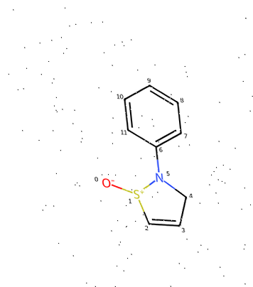 [O-][S+]1C=CCN1c1ccccc1